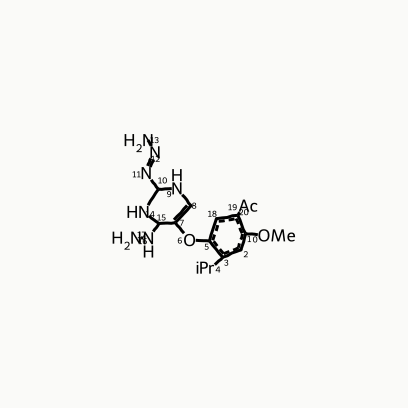 COc1cc(C(C)C)c(OC2=CNC(N=NN)NC2NN)cc1C(C)=O